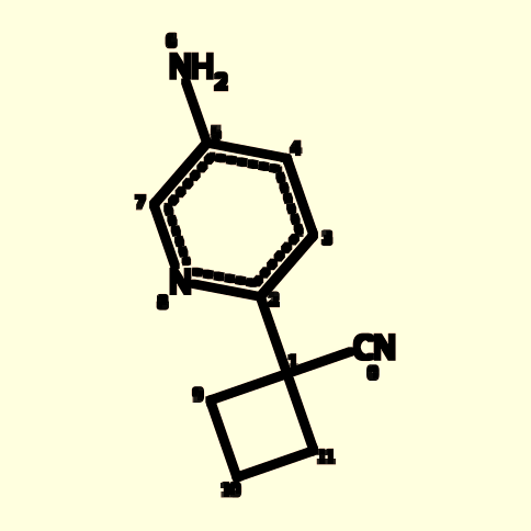 N#CC1(c2ccc(N)cn2)CCC1